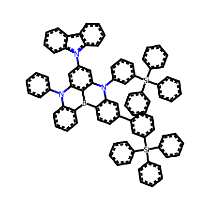 c1ccc(N2c3ccccc3B3c4ccc(-c5cccc([Si](c6ccccc6)(c6ccccc6)c6ccccc6)c5)cc4N(c4cccc([Si](c5ccccc5)(c5ccccc5)c5ccccc5)c4)c4cc(-n5c6ccccc6c6ccccc65)cc2c43)cc1